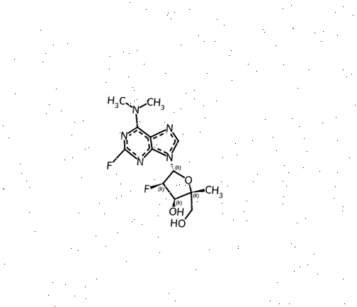 CN(C)c1nc(F)nc2c1ncn2[C@@H]1O[C@](C)(CO)[C@@H](O)[C@H]1F